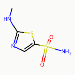 CNc1ncc(S(N)(=O)=O)s1